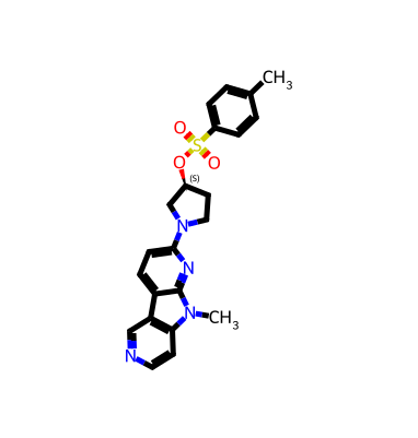 Cc1ccc(S(=O)(=O)O[C@H]2CCN(c3ccc4c5cnccc5n(C)c4n3)C2)cc1